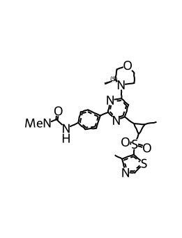 CNC(=O)Nc1ccc(-c2nc(C3C(C)C3S(=O)(=O)c3scnc3C)cc(N3CCOC[C@@H]3C)n2)cc1